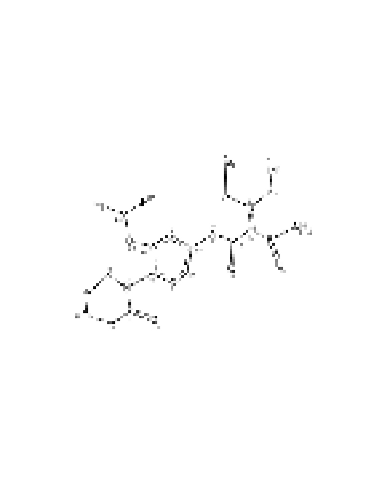 CC(C)CN(CC(C)C)[C@@H](C(N)=O)C(=O)Nc1ccc(N2CCOCC2=O)c(OC(F)F)c1